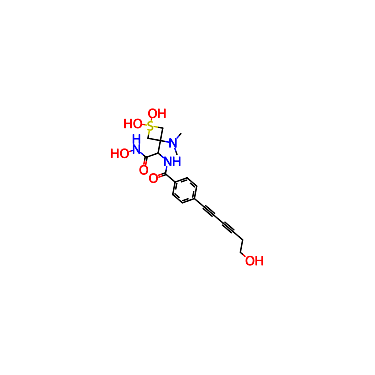 CN(C)C1(C(NC(=O)c2ccc(C#CC#CCCO)cc2)C(=O)NO)CS(O)(O)C1